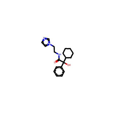 O=C(NCCn1ccnc1)C(O)(c1ccccc1)C1CCCCC1